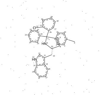 Cc1ccc(C(N[C@H](C=O)Cc2c[nH]c3ccccc23)(c2ccccc2)c2ccccc2Cl)cc1